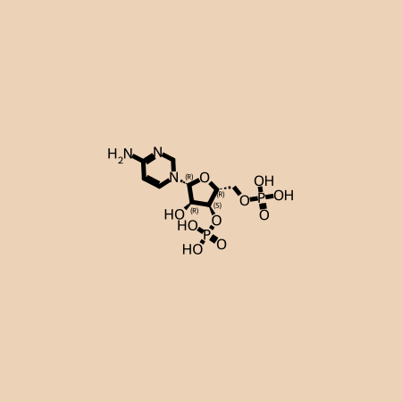 NC1=NCN([C@@H]2O[C@H](COP(=O)(O)O)[C@@H](OP(=O)(O)O)[C@H]2O)C=C1